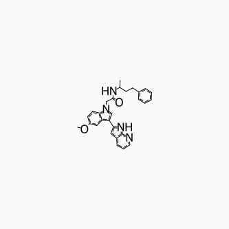 COc1ccc2c(c1)c(-c1cc3cccnc3[nH]1)cn2CC(=O)NC(C)CCc1ccccc1